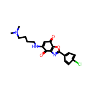 CN(C)CCCCNC1=CC(=O)c2oc(-c3ccc(Cl)cc3)nc2C1=O